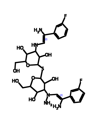 N/C(=C\NC1C(O)C(CO)OC(SC2OC(CO)C(O)C(N(N)/C=C(\N)c3cccc(F)c3)C2O)C1O)c1cccc(F)c1